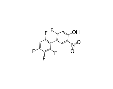 O=[N+]([O-])c1cc(-c2c(F)cc(F)c(F)c2F)c(F)cc1O